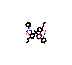 C=CCc1ccc(C(C)(c2ccc(CC=C)c3c2CN(c2ccccc2)CO3)C2CCCCC2)c2c1OCN(c1ccccc1)C2